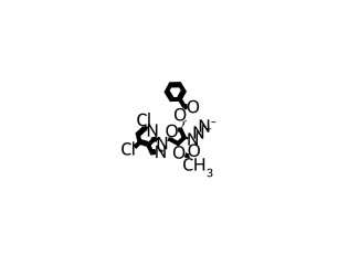 CC(=O)O[C@@H]1[C@H](N=[N+]=[N-])[C@@H](COC(=O)c2ccccc2)O[C@H]1n1ncc2c(Cl)cc(Cl)nc21